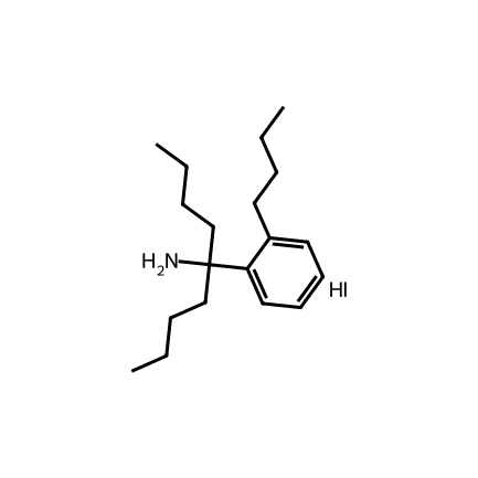 CCCCc1ccccc1C(N)(CCCC)CCCC.I